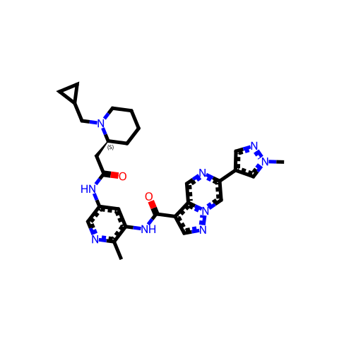 Cc1ncc(NC(=O)C[C@@H]2CCCCN2CC2CC2)cc1NC(=O)c1cnn2cc(-c3cnn(C)c3)ncc12